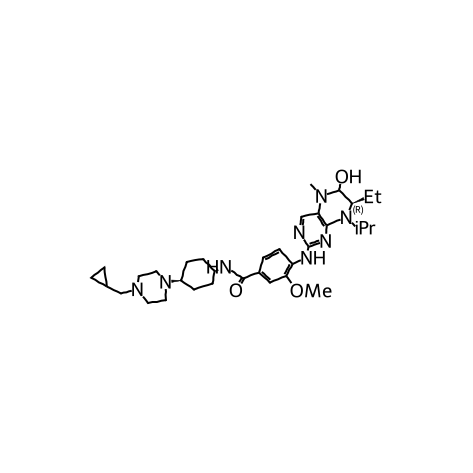 CC[C@@H]1C(O)N(C)c2cnc(Nc3ccc(C(=O)N[C@H]4CC[C@H](N5CCN(CC6CC6)CC5)CC4)cc3OC)nc2N1C(C)C